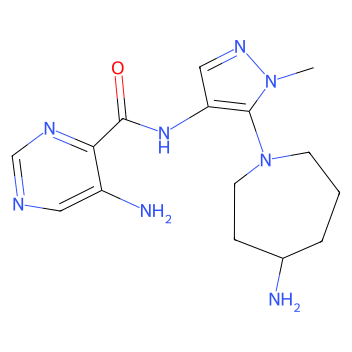 Cn1ncc(NC(=O)c2ncncc2N)c1N1CCCC(N)CC1